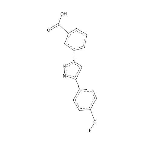 O=C(O)c1cccc(-n2cc(-c3ccc(OF)cc3)nn2)c1